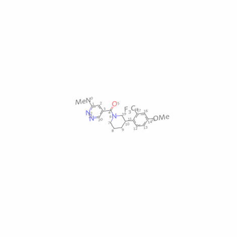 CNc1cc(C(=O)N2CCCC(c3ccc(OC)cc3C(F)(F)F)C2)cnn1